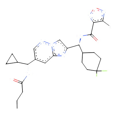 CCc1nonc1C(=O)N[C@H](c1cn2ncc([C@H](NC(=O)CCC(F)(F)F)C3CC3)cc2n1)C1CCC(F)(F)CC1